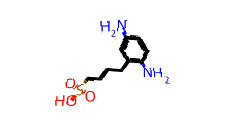 Nc1ccc(N)c(CCCCS(=O)(=O)O)c1